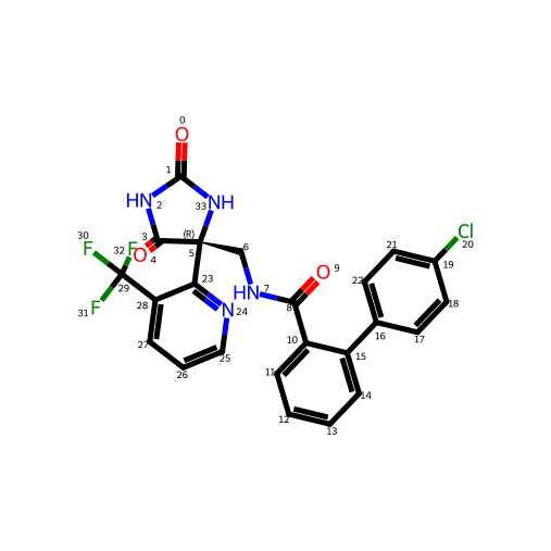 O=C1NC(=O)[C@@](CNC(=O)c2ccccc2-c2ccc(Cl)cc2)(c2ncccc2C(F)(F)F)N1